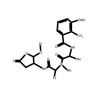 CCOC1OC(=O)CC1NC(=O)C(CC)N(C(=O)C(NC(=O)c1cccc(OC)c1C)C(C)(C)C)C(C)CC